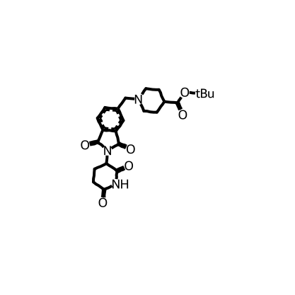 CC(C)(C)OC(=O)C1CCN(Cc2ccc3c(c2)C(=O)N(C2CCC(=O)NC2=O)C3=O)CC1